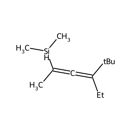 CCC(=C=C(C)[SiH](C)C)C(C)(C)C